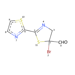 O=CC1(Br)CN=C(c2nccs2)S1